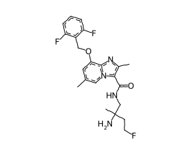 Cc1cc(OCc2c(F)cccc2F)c2nc(C)c(C(=O)NCC(C)(N)CCF)n2c1